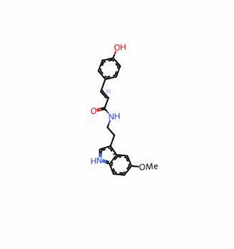 COc1ccc2[nH]cc(CCNC(=O)/C=C/c3ccc(O)cc3)c2c1